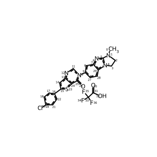 CN1CCn2c1nc1cc(-n3cnc4cc(-c5ccc(Cl)cc5)sc4c3=O)ccc12.O=C(O)C(F)(F)F